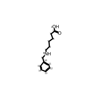 O=C(O)CCCCCNCc1ccccc1